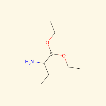 CCO[Si](OCC)C(N)CC